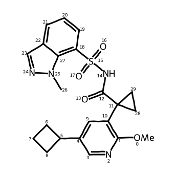 COc1ncc(C2CCC2)cc1C1(C(=O)NS(=O)(=O)c2cccc3cnn(C)c23)CC1